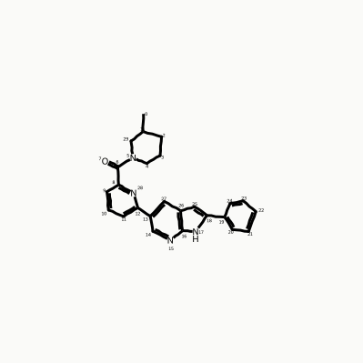 CC1CCCN(C(=O)c2cccc(-c3cnc4[nH]c(-c5ccccc5)cc4c3)n2)C1